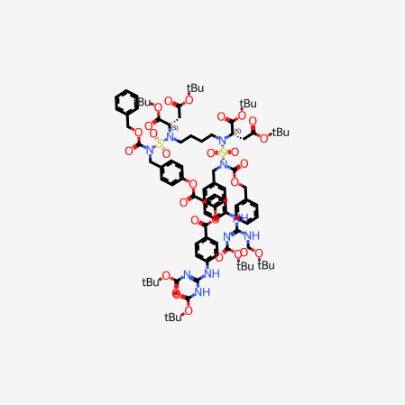 CC(C)(C)OC(=O)C[C@@H](C(=O)OC(C)(C)C)N(CCCCN([C@@H](CC(=O)OC(C)(C)C)C(=O)OC(C)(C)C)S(=O)(=O)N(Cc1ccc(OC(=O)c2ccc(NC(=NC(=O)OC(C)(C)C)NC(=O)OC(C)(C)C)cc2)cc1)C(=O)OCc1ccccc1)S(=O)(=O)N(Cc1ccc(OC(=O)c2ccc(NC(=NC(=O)OC(C)(C)C)NC(=O)OC(C)(C)C)cc2)cc1)C(=O)OCc1ccccc1